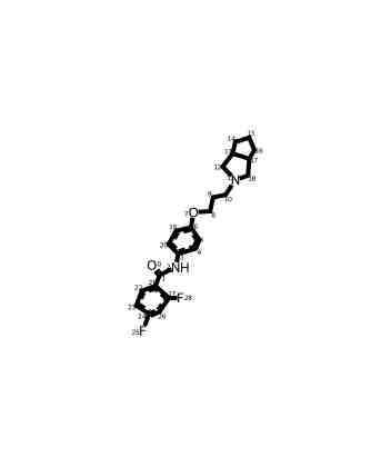 O=C(Nc1ccc(OCCCN2CC3CCCC3C2)cc1)c1ccc(F)cc1F